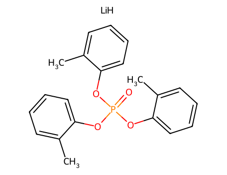 Cc1ccccc1OP(=O)(Oc1ccccc1C)Oc1ccccc1C.[LiH]